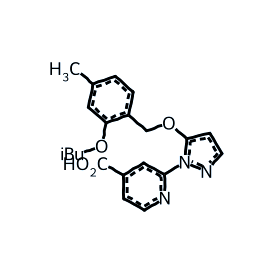 CCC(C)Oc1cc(C)ccc1COc1ccnn1-c1cc(C(=O)O)ccn1